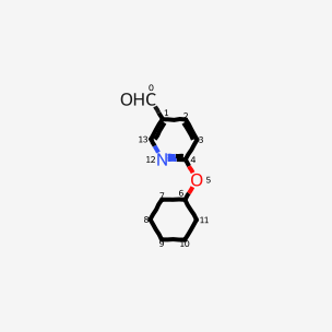 O=Cc1ccc(OC2CCCCC2)nc1